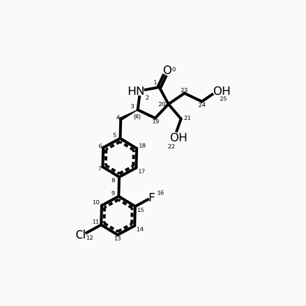 O=C1N[C@H](Cc2ccc(-c3cc(Cl)ccc3F)cc2)CC1(CO)CCO